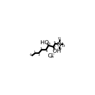 CCCCCC(O)C(O)C[N+](C)(C)C.[Cl-]